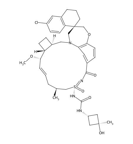 CO[C@H]1/C=C/C[C@H](C)C[S@@](=O)(NC(=O)N[C@H]2C[C@](C)(O)C2)=NC(=O)c2ccc3c(c2)N(C[C@@H]2CC[C@H]21)C[C@@]1(CCCc2cc(Cl)ccc21)CO3